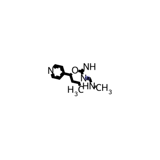 CCCC(OC(=N)/N=C/NC)c1ccncc1